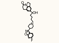 O=C1CCc2cc(C(O)CCCCN3CCC(c4noc5cc(F)ccc45)CC3)cc3c2N1CC3